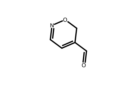 O=CC1=CC=NOC1